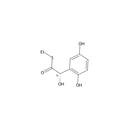 CCSC(=O)[C@@H](O)c1cc(O)ccc1O